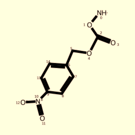 [NH]OC(=O)OCc1ccc([N+](=O)[O-])cc1